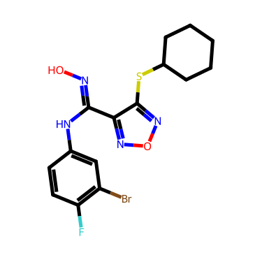 O/N=C(\Nc1ccc(F)c(Br)c1)c1nonc1SC1CCCCC1